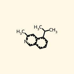 Cc1cc2c(C(C)C)cccc2cn1